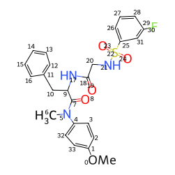 COc1ccc(N(C)C(=O)C(Cc2ccccc2)NC(=O)CNS(=O)(=O)c2cccc(F)c2)cc1